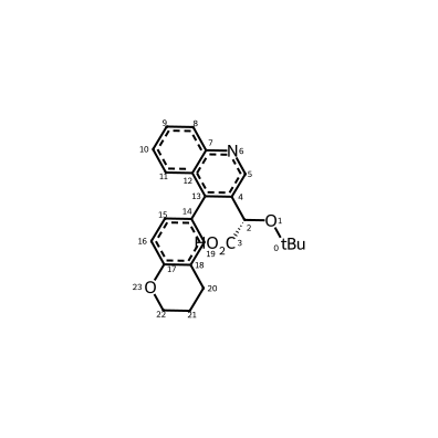 CC(C)(C)O[C@H](C(=O)O)c1cnc2ccccc2c1-c1ccc2c(c1)CCCO2